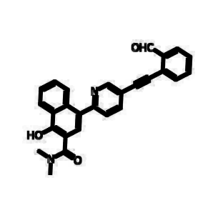 CN(C)C(=O)c1cc(-c2ccc(C#Cc3ccccc3C=O)cn2)c2ccccc2c1O